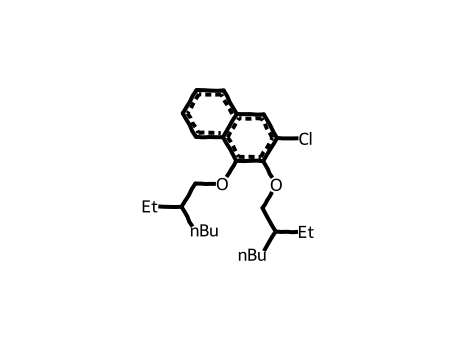 CCCCC(CC)COc1c(Cl)cc2ccccc2c1OCC(CC)CCCC